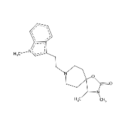 CC1N(C)C(=O)OC12CCN(CCc1cn(C)c3ccccc13)CC2